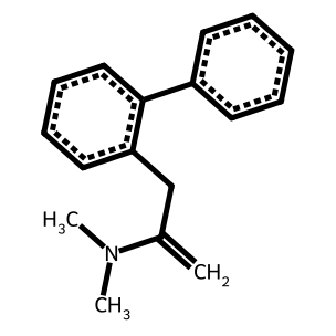 C=C(Cc1ccccc1-c1ccccc1)N(C)C